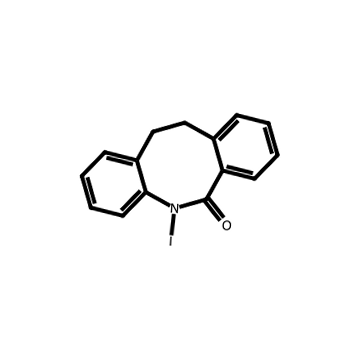 O=C1c2ccccc2CCc2ccccc2N1I